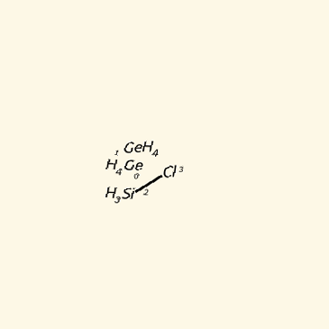 [GeH4].[GeH4].[SiH3]Cl